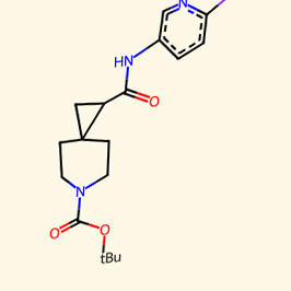 CC(C)(C)OC(=O)N1CCC2(CC1)CC2C(=O)Nc1ccc(I)nc1